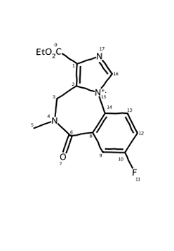 CCOC(=O)C1=C2CN(C)C(=O)c3cc(F)ccc3[N+]2C=N1